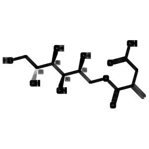 C=C(CC(=O)O)C(=O)OC[C@H](O)[C@@H](O)[C@H](O)[C@H](O)CO